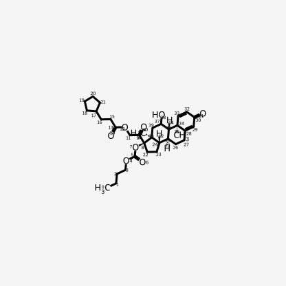 CCCCOC(=O)O[C@]1(C(=O)COC(=O)CCC2CCCC2)CC[C@H]2[C@@H]3CCC4=CC(=O)C=C[C@]4(C)[C@H]3C(O)C[C@@]21C